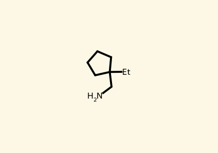 CCC1(CN)CCCC1